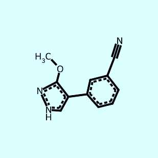 COc1n[nH]cc1-c1cccc(C#N)c1